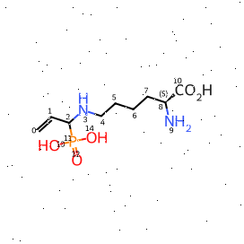 C=CC(NCCCC[C@H](N)C(=O)O)P(=O)(O)O